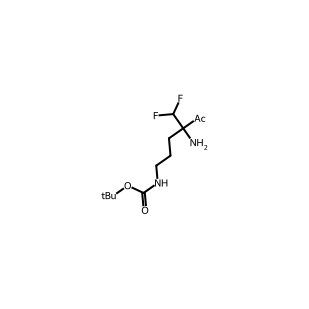 CC(=O)C(N)(CCCNC(=O)OC(C)(C)C)C(F)F